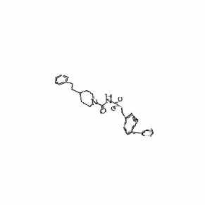 O=C(NS(=O)(=O)/C=C/c1ccc(Cl)cc1)N1CCC(CCc2ccccc2)CC1